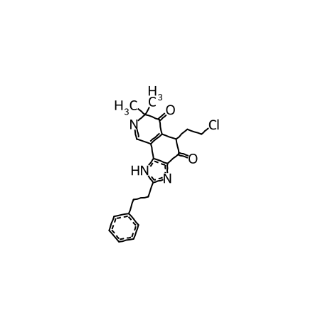 CC1(C)N=CC2=C(C1=O)C(CCCl)C(=O)c1nc(CCc3ccccc3)[nH]c12